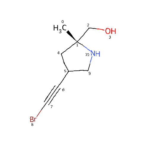 C[C@]1(CO)CC(C#CBr)CN1